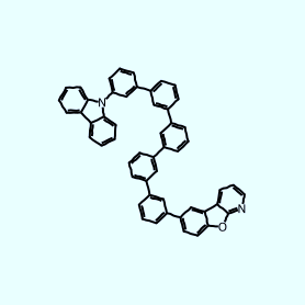 c1cc(-c2cccc(-c3cccc(-c4ccc5oc6ncccc6c5c4)c3)c2)cc(-c2cccc(-c3cccc(-n4c5ccccc5c5ccccc54)c3)c2)c1